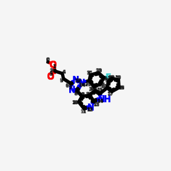 COC(=O)CCc1nc(-c2ccnc3[nH]c(-c4ccccc4)cc23)n(-c2ccc(F)cc2)n1